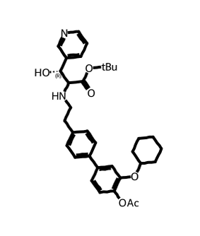 CC(=O)Oc1ccc(-c2ccc(CCNC(C(=O)OC(C)(C)C)[C@H](O)c3cccnc3)cc2)cc1OC1CCCCC1